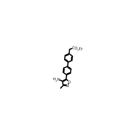 CCOC(=O)Cc1ccc(-c2ccc(-c3onc(C)c3N)cc2)cc1